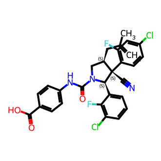 C=C(C)C[C@@H]1CN(C(=O)Nc2ccc(C(=O)O)cc2)[C@H](c2cccc(Cl)c2F)[C@@]1(C#N)c1ccc(Cl)cc1F